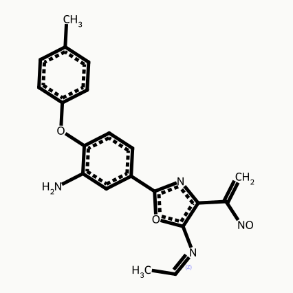 C=C(N=O)c1nc(-c2ccc(Oc3ccc(C)cc3)c(N)c2)oc1/N=C\C